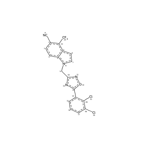 N#Cc1ccc2c(ccn2Cc2noc(-c3cccc(Cl)c3Cl)n2)c1C(F)(F)F